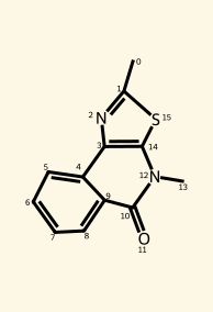 Cc1nc2c3ccccc3c(=O)n(C)c2s1